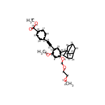 COCCOCOc1cc(OC)c(C#Cc2ccc(C(=O)OC)cc2)cc1C12CC3CC(CC(C3)C1)C2